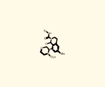 CCNC(=O)N1CCc2cc(C(C)(C)C)cc([C@@H]3COCCN3C(=O)O)c2C1Cl